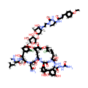 CCOc1ccc(/C=C/C(=O)NC2CCN(CCN[C@@]3(C)C[C@H](O[C@H]4[C@H](Oc5c6cc7cc5Oc5ccc(cc5Cl)[C@@H](O)[C@@H](NC(=O)[C@@H](CC(C)C)NC)C(=O)N[C@@H](CC(N)=O)C(=O)N[C@H]7C(=O)N[C@H]5C(=O)N[C@H](C(=O)N[C@@H](C(=O)NNC(N)=O)c7cc(O)cc(O)c7-c7cc5ccc7O)[C@H](O)c5ccc(c(Cl)c5)O6)O[C@H](CO)[C@@H](O)[C@@H]4O)O[C@@H](C)[C@H]3O)C(=O)N2)cc1